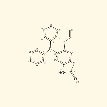 C=CCc1ccccc1P(c1ccccc1)c1ccccc1.CC(=O)O